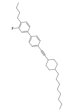 CCCCCCCCC1CCC(C#Cc2ccc(-c3ccc(CCCC)c(F)c3)cc2)CC1